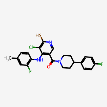 Cc1ccc(Nc2c(C(=O)N3CCC(c4ccc(F)cc4)CC3)cnc(S)c2Cl)c(F)c1